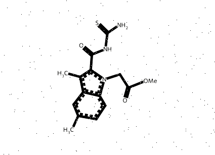 COC(=O)Cn1c(C(=O)NC(N)=S)c(C)c2cc(C)ccc21